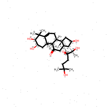 CC(C)(O)CCC(=O)[C@](C)(O)[C@H]1[C@H](O)C[C@@]2(C)[C@@H]3CC=C4[C@@H](C[C@@H](O)[C@@H](O)C4(C)C)[C@]3(C)C(=O)C[C@]12C